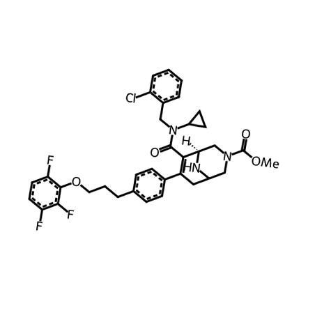 COC(=O)N1CC2CC(c3ccc(CCCOc4c(F)ccc(F)c4F)cc3)=C(C(=O)N(Cc3ccccc3Cl)C3CC3)[C@@H](C1)N2